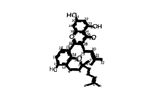 CC(C)=CCCC1(C)C=Cc2c(O)ccc(-c3oc4cc(O)cc(O)c4c(=O)c3CC=C(C)C)c2O1